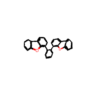 C1=CC2Oc3c(-c4ccccc4-c4cccc5c4oc4ccccc45)cccc3C2C=C1